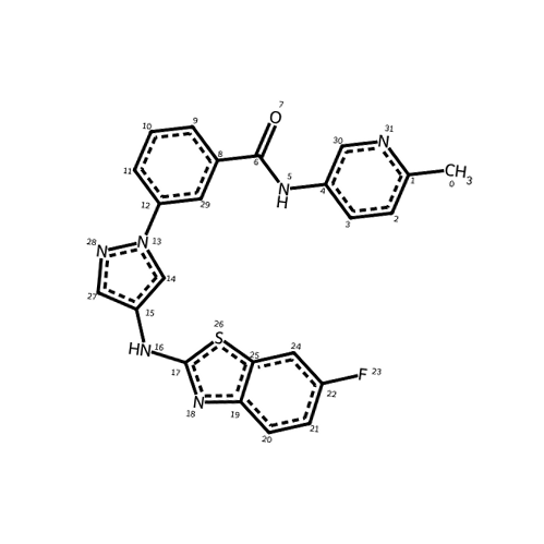 Cc1ccc(NC(=O)c2cccc(-n3cc(Nc4nc5ccc(F)cc5s4)cn3)c2)cn1